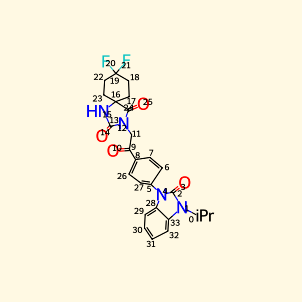 CC(C)n1c(=O)n(-c2ccc(C(=O)CN3C(=O)NC4(CCC(F)(F)CC4)C3=O)cc2)c2ccccc21